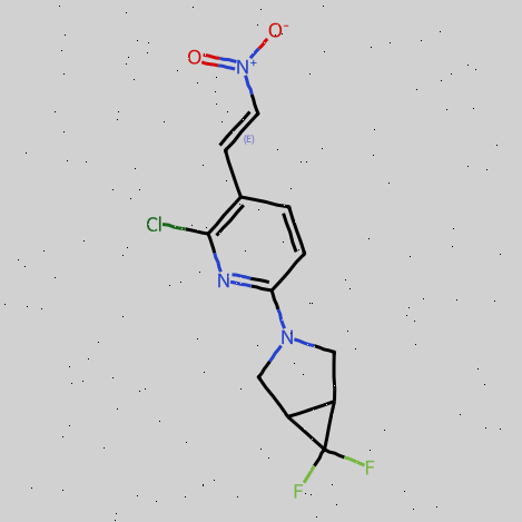 O=[N+]([O-])/C=C/c1ccc(N2CC3C(C2)C3(F)F)nc1Cl